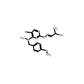 COc1ccc(CN(C)c2nc(ON=CC(C)C)ncc2F)cc1